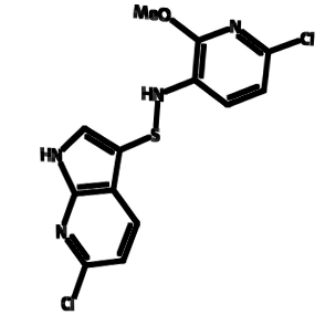 COc1nc(Cl)ccc1NSc1c[nH]c2nc(Cl)ccc12